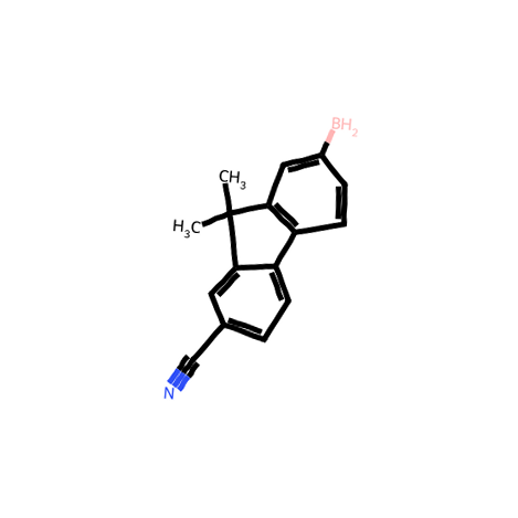 Bc1ccc2c(c1)C(C)(C)c1cc(C#N)ccc1-2